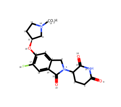 O=C1CCC(N2Cc3cc(O[C@H]4CCN(C(=O)O)C4)c(F)cc3C2=O)C(=O)N1